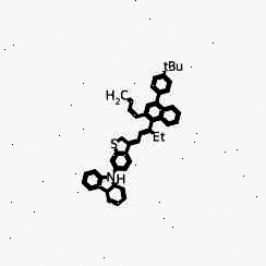 C=C/C=C\c1cc(-c2ccc(C(C)(C)C)cc2)c2ccccc2c1/C(=C/C=C1\CSc2cc(N3c4ccccc4C4C=CC=C[C@@H]43)ccc21)CC